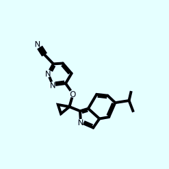 CC(C)C1=CC2C=NC(C3(Oc4ccc(C#N)nn4)CC3)=C2C=C1